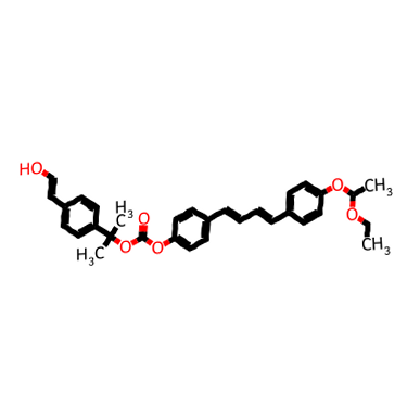 CCOC(C)Oc1ccc(C=CC=Cc2ccc(OC(=O)OC(C)(C)c3ccc(C=CO)cc3)cc2)cc1